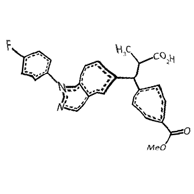 COC(=O)c1ccc(C(c2ccc3c(cnn3-c3ccc(F)cc3)c2)C(C)C(=O)O)cc1